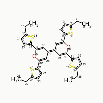 CCc1ccc(C2=CC(=C3C=C(c4ccc(CC)s4)OC(c4ccc(CC)s4)=C3)C=C(c3ccc(CC)s3)O2)s1